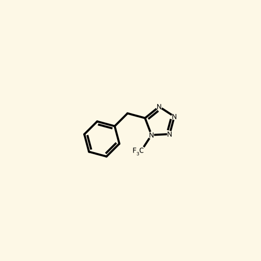 FC(F)(F)n1nnnc1Cc1ccccc1